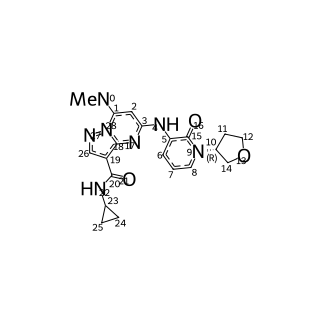 CNc1cc(Nc2cccn([C@@H]3CCOC3)c2=O)nc2c(C(=O)NC3CC3)cnn12